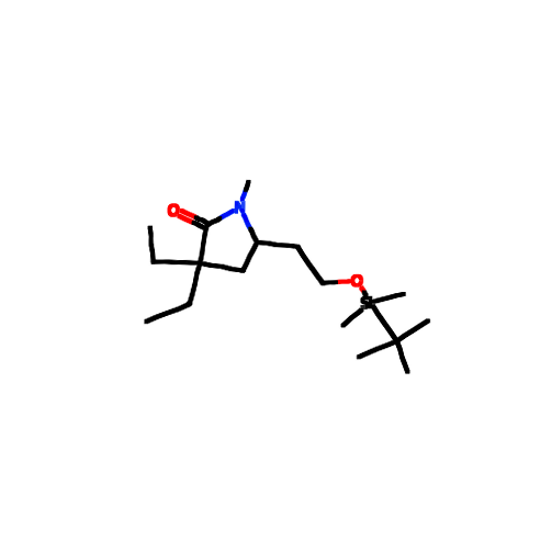 CCC1(CC)CC(CCO[Si](C)(C)C(C)(C)C)N(C)C1=O